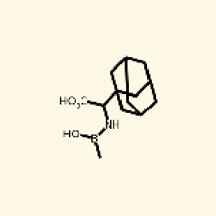 CB(O)NC(C(=O)O)C12CC3CC(CC(C3)C1)C2